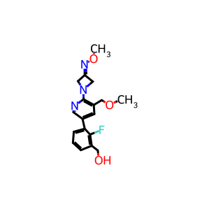 COCc1cc(-c2cccc(CO)c2F)cnc1N1CC(=NOC)C1